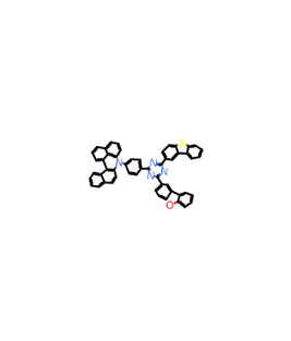 c1ccc2c3c(ccc2c1)N(c1ccc(-c2nc(-c4ccc5oc6ccccc6c5c4)nc(-c4ccc5sc6ccccc6c5c4)n2)cc1)c1cccc2cccc-3c12